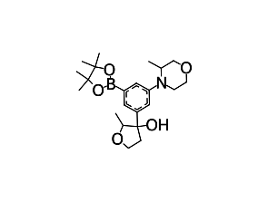 CC1COCCN1c1cc(B2OC(C)(C)C(C)(C)O2)cc(C2(O)CCOC2C)c1